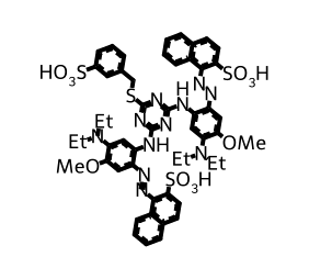 CCN(CC)c1cc(Nc2nc(Nc3cc(N(CC)CC)c(OC)cc3/N=N/c3c(S(=O)(=O)O)ccc4ccccc34)nc(SCc3cccc(S(=O)(=O)O)c3)n2)c(/N=N/c2c(S(=O)(=O)O)ccc3ccccc23)cc1OC